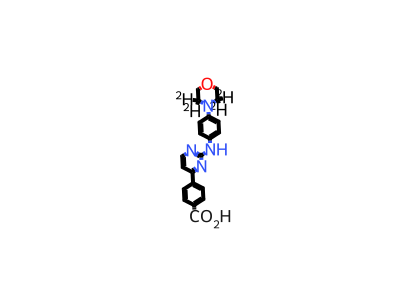 [2H]C1([2H])COCC([2H])([2H])N1c1ccc(Nc2nccc(-c3ccc(C(=O)O)cc3)n2)cc1